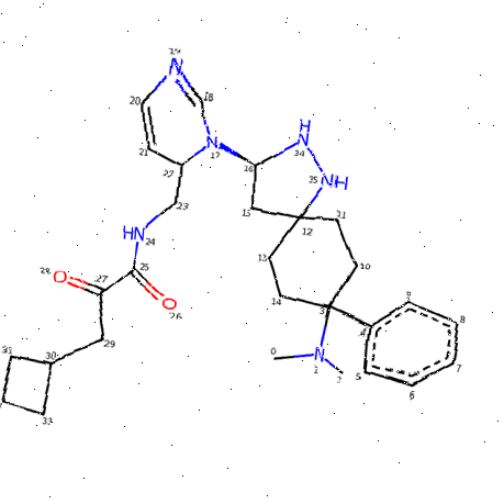 CN(C)C1(c2ccccc2)CCC2(CC1)C[C@@H](N1C=NC=CC1CNC(=O)C(=O)CC1CCC1)NN2